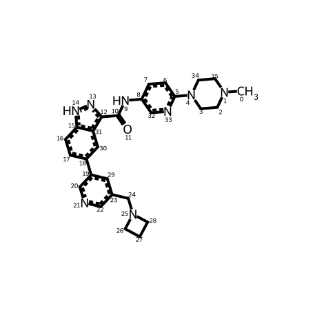 CN1CCN(c2ccc(NC(=O)c3n[nH]c4ccc(-c5cncc(CN6CCC6)c5)cc34)cn2)CC1